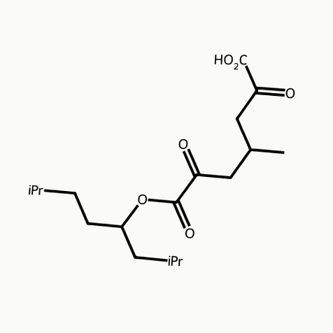 CC(C)CCC(CC(C)C)OC(=O)C(=O)CC(C)CC(=O)C(=O)O